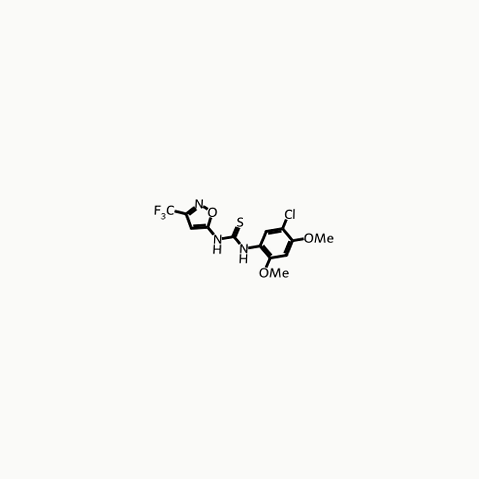 COc1cc(OC)c(NC(=S)Nc2cc(C(F)(F)F)no2)cc1Cl